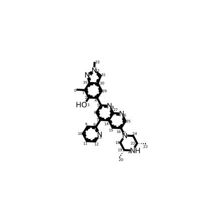 Cc1c(O)c(-c2cc(-c3ccccn3)c3cc(N4C[C@@H](C)N[C@@H](C)C4)cnc3n2)cc2cn(C)nc12